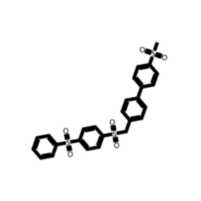 CS(=O)(=O)c1ccc(-c2ccc(CS(=O)(=O)c3ccc(S(=O)(=O)c4ccccc4)cc3)cc2)cc1